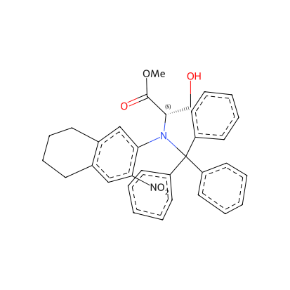 COC(=O)[C@H](CO)N(c1cc2c(cc1[N+](=O)[O-])CCCC2)C(c1ccccc1)(c1ccccc1)c1ccccc1